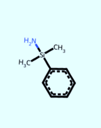 C[Si](C)(N)c1ccccc1